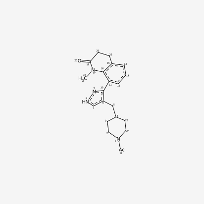 CC(=O)N1CCC(Cc2c[nH]nc2-c2cccc3c2N(C)C(=O)CC3)CC1